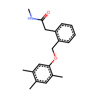 CNC(=O)Cc1ccccc1COc1cc(C)c(C)cc1C